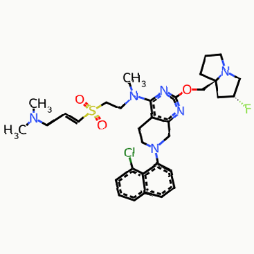 CN(C)C/C=C/S(=O)(=O)CCN(C)c1nc(OC[C@@]23CCCN2C[C@H](F)C3)nc2c1CCN(c1cccc3cccc(Cl)c13)C2